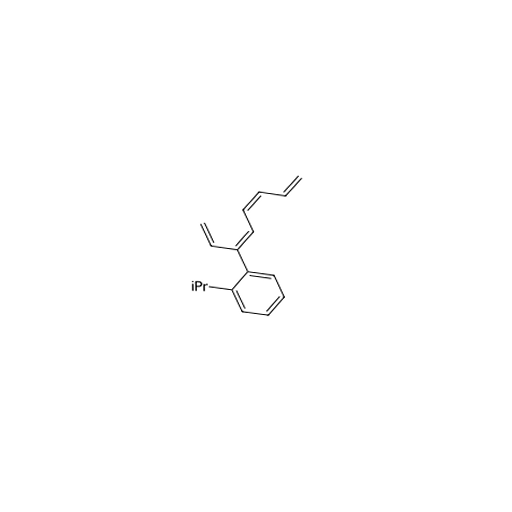 C=C/C=C\C=C(/C=C)c1ccccc1C(C)C